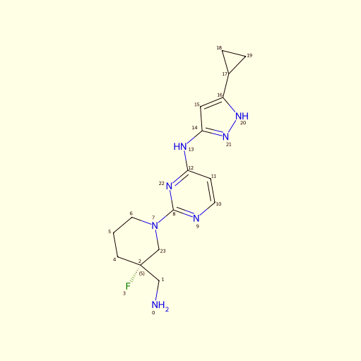 NC[C@@]1(F)CCCN(c2nccc(Nc3cc(C4CC4)[nH]n3)n2)C1